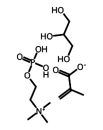 C=C(C)C(=O)[O-].C[N+](C)(C)CCOP(=O)(O)O.OCC(O)CO